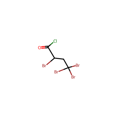 O=C(Cl)C(Br)CC(Br)(Br)Br